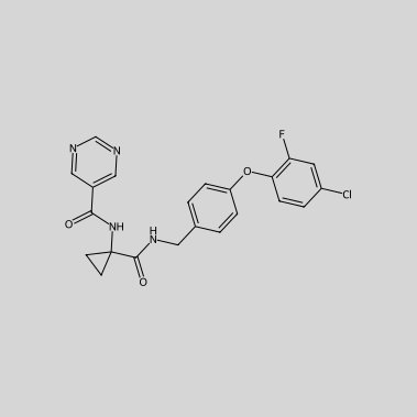 O=C(NC1(C(=O)NCc2ccc(Oc3ccc(Cl)cc3F)cc2)CC1)c1cncnc1